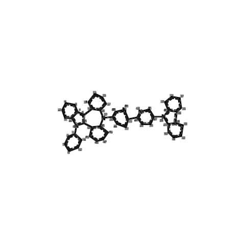 c1ccc(-n2c3c(c4ccccc42)-c2ccccc2N(c2ccc(-c4ccc(-n5c6ccccc6c6ccccc65)cn4)nc2)c2ccccc2-3)cc1